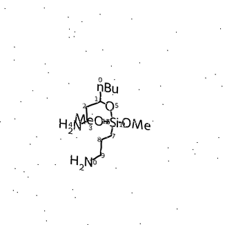 CCCCC(CCN)O[Si](CCCN)(OC)OC